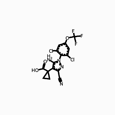 N#Cc1nn(-c2c(Cl)cc(OC(F)(F)F)cc2Cl)c(N)c1C1(C(=O)O)CC1